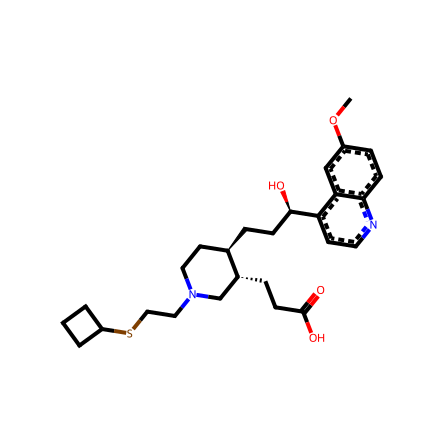 COc1ccc2nccc([C@H](O)CC[C@@H]3CCN(CCSC4CCC4)C[C@H]3CCC(=O)O)c2c1